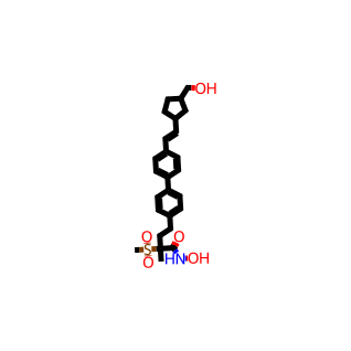 CC(CCc1ccc(-c2ccc(C=CC3CCC(CO)C3)cc2)cc1)(C(=O)NO)S(C)(=O)=O